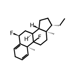 CC[C@H]1CC[C@H]2[C@@H]3C[C@H](F)C4=CCC=C[C@]4(C)C3(F)CC[C@]12C